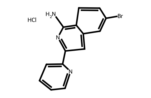 Cl.Nc1nc(-c2ccccn2)cc2cc(Br)ccc12